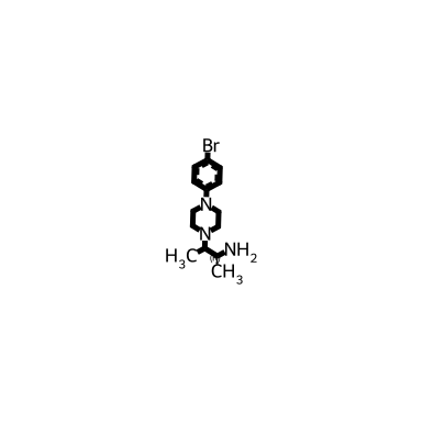 CC([C@@H](C)N)N1CCN(c2ccc(Br)cc2)CC1